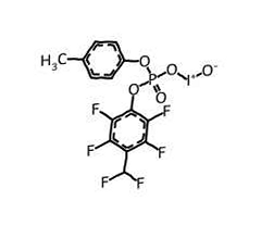 Cc1ccc(OP(=O)(O[I+][O-])Oc2c(F)c(F)c(C(F)F)c(F)c2F)cc1